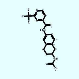 O=C(O)NC1CCc2cc(NC(=O)c3ccnc(C(F)(F)F)c3)ccc2C1